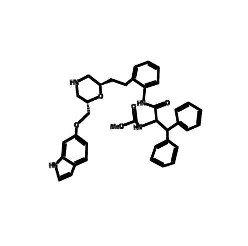 COC(=O)NC(C(=O)Nc1ccccc1CC[C@@H]1CNC[C@@H](COc2ccc3cc[nH]c3c2)O1)C(c1ccccc1)c1ccccc1